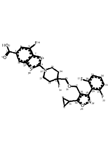 O=C(O)c1cc(F)c2nc(N3CCC(F)(COCc4c(-c5c(F)cccc5F)noc4C4CC4)CC3)sc2c1